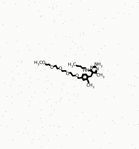 CCCCCNc1nc(N)nc(C)c1Cc1ccc(COCCOCCOCCOCCOC)cc1CC